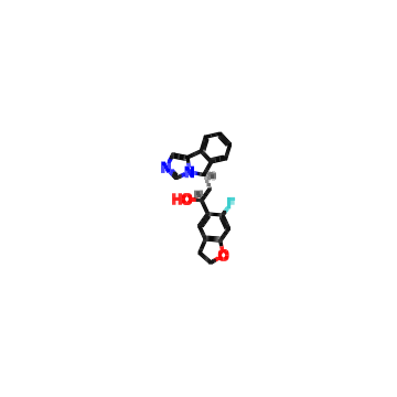 O[C@@H](C[C@H]1c2ccccc2-c2cncn21)c1cc2c(cc1F)OCC2